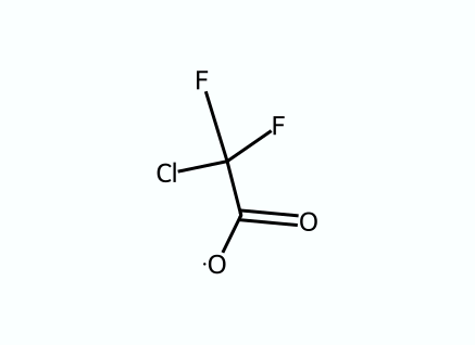 [O]C(=O)C(F)(F)Cl